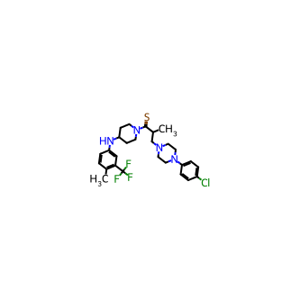 Cc1ccc(NC2CCN(C(=S)C(C)CN3CCN(c4ccc(Cl)cc4)CC3)CC2)cc1C(F)(F)F